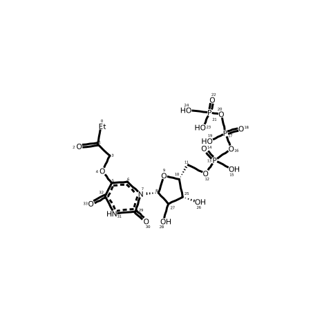 CCC(=O)COc1cn([C@@H]2O[C@H](COP(=O)(O)OP(=O)(O)OP(=O)(O)O)[C@H](O)C2O)c(=O)[nH]c1=O